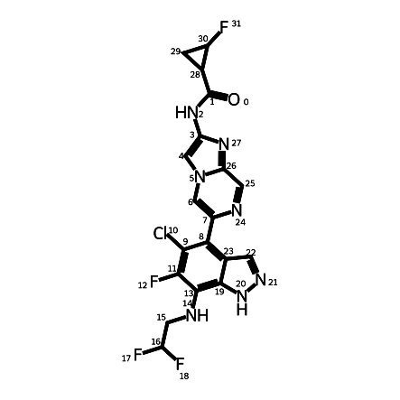 O=C(Nc1cn2cc(-c3c(Cl)c(F)c(NCC(F)F)c4[nH]ncc34)ncc2n1)C1CC1F